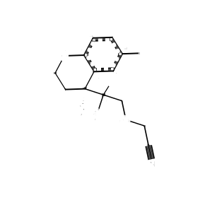 N#CCOCC(F)(F)[C@@]1(N)CCOc2ccc(Br)cc21